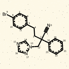 N#CC(CCc1ccc(Br)cc1)(Cn1cncn1)c1ccccc1